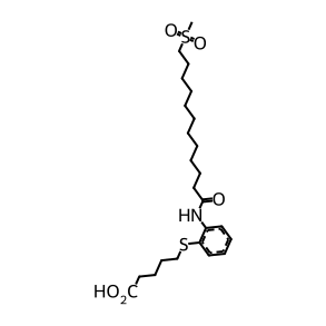 CS(=O)(=O)CCCCCCCCCCCC(=O)Nc1ccccc1SCCCCC(=O)O